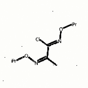 CC(=NOC(C)C)C(Cl)=NOC(C)C